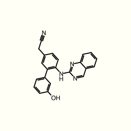 N#CCc1ccc(Nc2ncc3ccccc3n2)c(-c2cccc(O)c2)c1